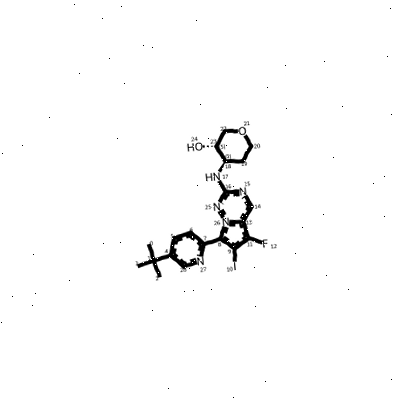 CC(C)(C)c1ccc(-c2c(I)c(F)c3cnc(N[C@@H]4CCOC[C@H]4O)nn23)nc1